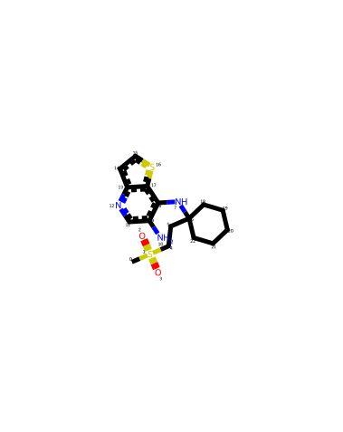 CS(=O)(=O)CCC1(Nc2c(N)cnc3ccsc23)CCCCC1